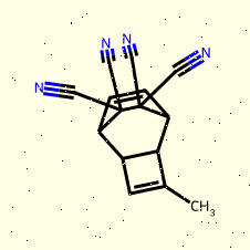 CC1=CC2C1C1C=CC2C(C#N)(C#N)C1(C#N)C#N